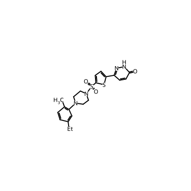 CCc1ccc(C)c(N2CCN(S(=O)(=O)c3ccc(-c4ccc(=O)[nH]n4)s3)CC2)c1